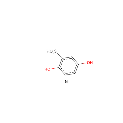 O=S(=O)(O)c1cc(O)ccc1O.[Ni]